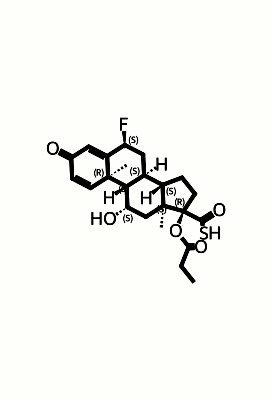 CCC(=O)O[C@]1(C(=O)S)CC[C@H]2[C@@H]3C[C@H](F)C4=CC(=O)C=C[C@]4(C)[C@H]3[C@@H](O)C[C@@]21C